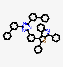 c1ccc(-c2cccc(-c3nc(-c4cccc(-c5ccccc5)c4)nc(-c4cccc(-c5c(-c6ccccc6)sc6c(-c7ccccc7)nc7ccccc7c56)c4)n3)c2)cc1